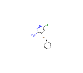 Nc1nnc(Cl)cc1SCc1ccccc1